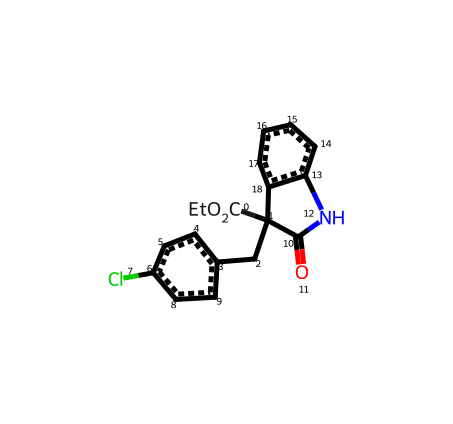 CCOC(=O)C1(Cc2ccc(Cl)cc2)C(=O)Nc2ccccc21